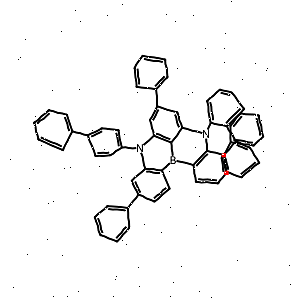 c1ccc(-c2ccc(N3c4cc(-c5ccccc5)ccc4B4c5cccc(-c6ccccc6)c5N(c5ccccc5-c5ccccc5)c5cc(-c6ccccc6)cc3c54)cc2)cc1